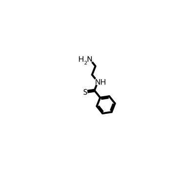 NCCNC(=S)c1ccccc1